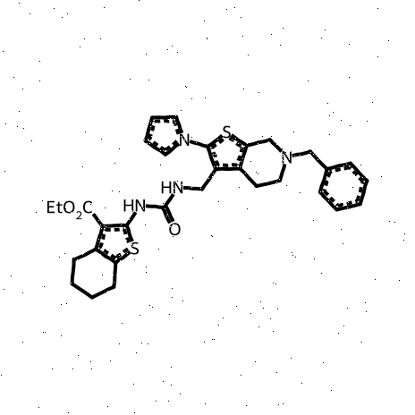 CCOC(=O)c1c(NC(=O)NCc2c(-n3cccc3)sc3c2CCN(Cc2ccccc2)C3)sc2c1CCCC2